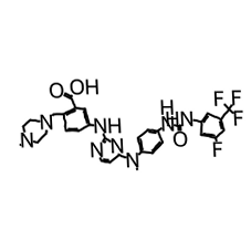 CN1CCN(Cc2ccc(Nc3nccc(N(C)c4ccc(NC(=O)Nc5cc(F)cc(C(F)(F)F)c5)cc4)n3)cc2C(=O)O)CC1